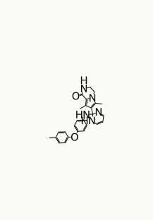 Cc1ccc(Oc2ccc(NC3(c4c(C)c5n(c4C)CCNC5=O)N=CC=CN3)cc2)cc1